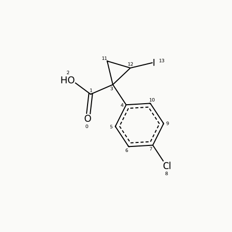 O=C(O)C1(c2ccc(Cl)cc2)CC1I